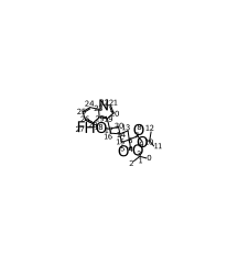 CC(C)OC(=O)C1(C(=O)OC(C)C)CC2(C1)CC(O)(c1ccnc3ccc(F)cc13)C2